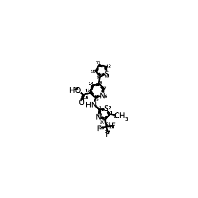 Cc1sc(Nc2ncc(-c3cccs3)cc2C(=O)O)nc1C(F)(F)F